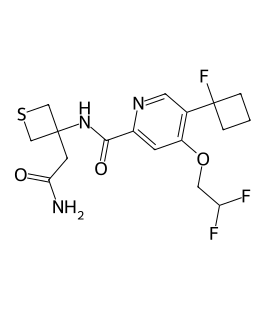 NC(=O)CC1(NC(=O)c2cc(OCC(F)F)c(C3(F)CCC3)cn2)CSC1